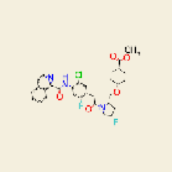 COC(=O)[C@H]1CC[C@H](OC[C@@H]2C[C@H](F)CN2C(=O)Cc2cc(Cl)c(NC(=O)c3nccc4ccccc34)cc2F)CC1